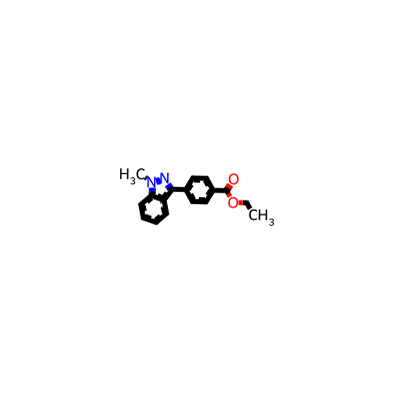 CCOC(=O)c1ccc(-c2nn(C)c3ccccc23)cc1